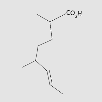 CC=CC(C)CCC(C)C(=O)O